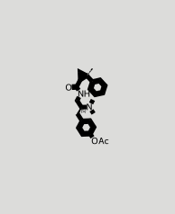 CC(=O)Oc1ccc(C[C@@H](CNC(=O)C2=C[C@@]2(C)c2ccccc2)N(C)C)cc1